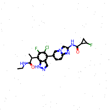 CCNC(=O)C(C)c1c(F)c(Cl)c(-c2ccc3nc(NC(=O)C4CC4F)cn3c2)c2cn[nH]c12